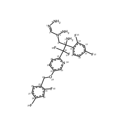 N/N=C\N(N)CC(N)(c1ccc(F)cc1F)C(F)(F)c1ccc(OCc2ccc(F)cc2F)cn1